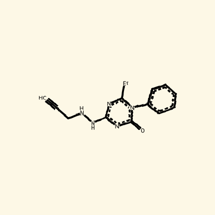 C#CCNNc1nc(CC)n(-c2ccccc2)c(=O)n1